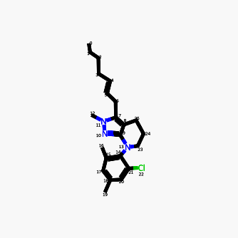 CCCCC=CCc1c2c(nn1C)N(c1c(C)cc(C)cc1Cl)CCC2